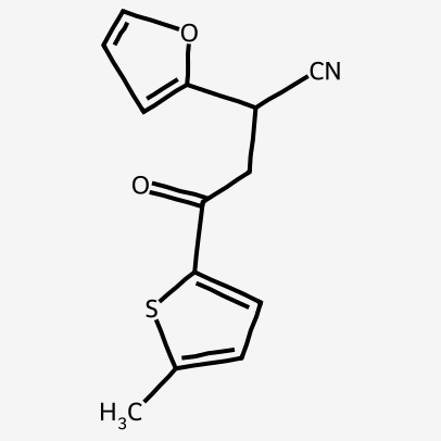 Cc1ccc(C(=O)CC(C#N)c2ccco2)s1